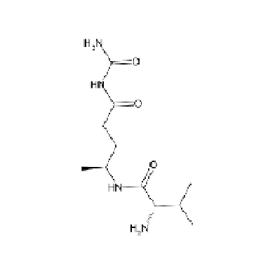 CC(C)[C@H](N)C(=O)N[C@@H](C)CCC(=O)NC(N)=O